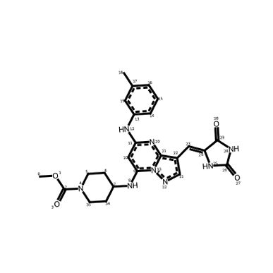 COC(=O)N1CCC(Nc2cc(Nc3cccc(C)c3)nc3c(/C=C4\NC(=O)NC4=O)cnn23)CC1